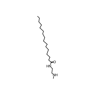 CCCCCCCCCCCCCCCC(=O)NCCNC